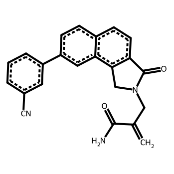 C=C(CN1Cc2c(ccc3ccc(-c4cccc(C#N)c4)cc23)C1=O)C(N)=O